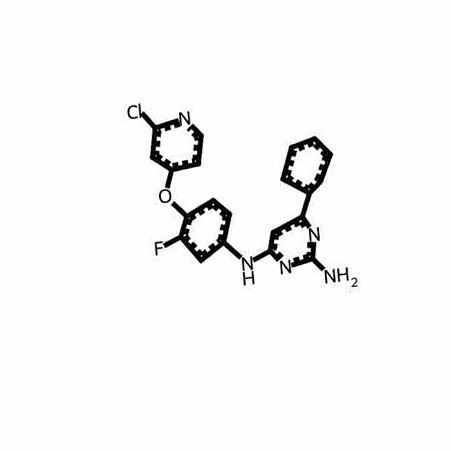 Nc1nc(Nc2ccc(Oc3ccnc(Cl)c3)c(F)c2)cc(-c2ccccc2)n1